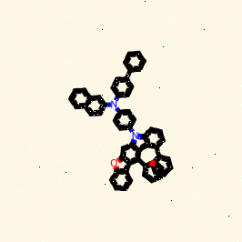 c1ccc(-c2ccc(N(c3ccc(-n4c5cccc(-c6ccccc6)c5c5c(-c6ccccc6)c6c(cc54)oc4ccccc46)cc3)c3ccc4ccccc4c3)cc2)cc1